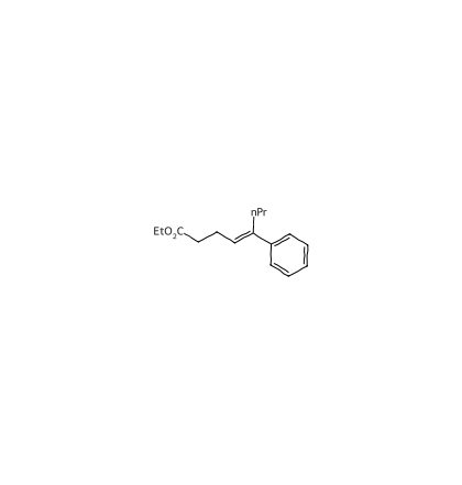 CCCC(=CCCC(=O)OCC)c1ccccc1